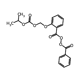 CC(C)OC(=O)OCOc1ccccc1C(=O)OOC(=O)c1ccccc1